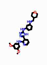 COc1cc(Nc2ncccc2-c2nnc(Nc3cccc(NCC4CCOCC4)c3)[nH]2)cc(OC)c1